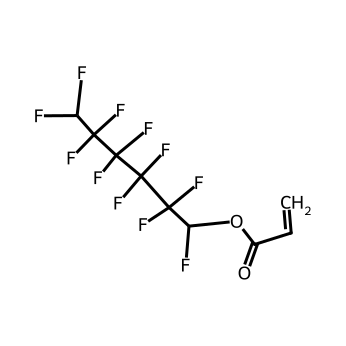 C=CC(=O)OC(F)C(F)(F)C(F)(F)C(F)(F)C(F)(F)C(F)F